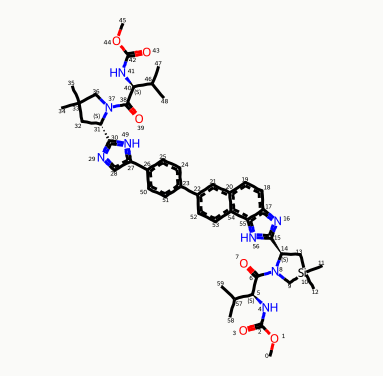 COC(=O)N[C@H](C(=O)N1C[Si](C)(C)C[C@@H]1c1nc2ccc3cc(-c4ccc(-c5cnc([C@@H]6CC(C)(C)CN6C(=O)[C@@H](NC(=O)OC)C(C)C)[nH]5)cc4)ccc3c2[nH]1)C(C)C